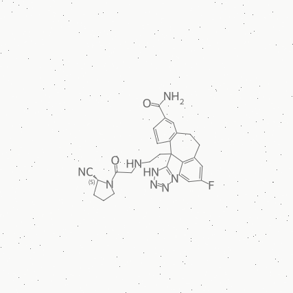 N#C[C@@H]1CCCN1C(=O)CNCCC1(c2nnn[nH]2)c2ccc(F)cc2CCc2cc(C(N)=O)ccc21